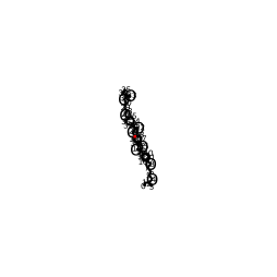 C=CC(=C)OCCCOc1ccc(C(=O)Oc2ccc(OC(=O)C3CCC(OCCCOC(=O)C=C)CC3)cc2)cc1